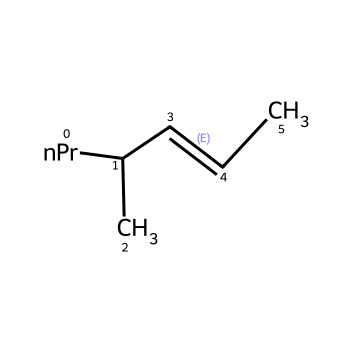 [CH2]CCC(C)/C=C/C